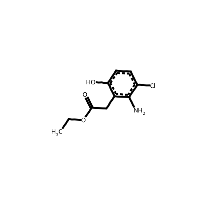 CCOC(=O)Cc1c(O)ccc(Cl)c1N